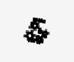 CC(=O)Nc1cc(COc2ccsc2-c2nnc(Nc3ccccc3)o2)ccn1